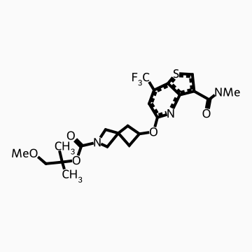 CNC(=O)c1csc2c(C(F)(F)F)cc(OC3CC4(C3)CN(C(=O)OC(C)(C)COC)C4)nc12